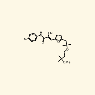 COC(C)(C)CCOC(C)(C)Cc1ccc(/C=C(\C#N)C(=O)Nc2ccc(F)cc2)o1